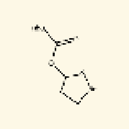 CCCCC(=O)OC1CC[Se]S1